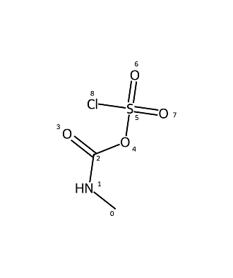 CNC(=O)OS(=O)(=O)Cl